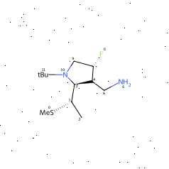 CS[C@@H](C)[C@@H]1C(CN)[C@@H](F)CN1C(C)(C)C